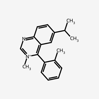 Cc1ccccc1-c1c2cc(C(C)C)ccc2nc[n+]1C